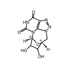 O=c1[nH]c(=O)n2c3c1nnn3C[C@H]1O[C@@H]2C(O)C1O